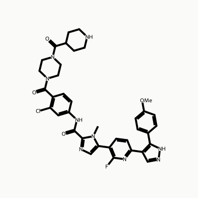 COc1ccc(-c2[nH]ncc2-c2ccc(-c3cnc(C(=O)Nc4ccc(C(=O)N5CCN(C(=O)C6CCNCC6)CC5)c(Cl)c4)n3C)c(F)n2)cc1